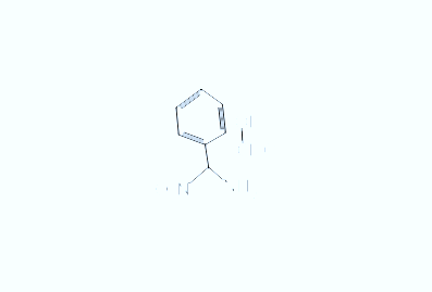 NC(c1ccccc1)[N+](=O)[O-].O=CO